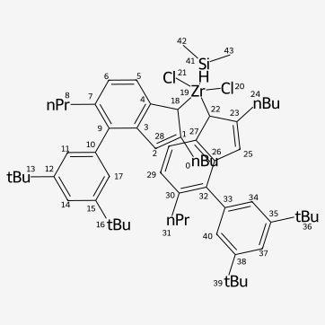 CCCCC1=Cc2c(ccc(CCC)c2-c2cc(C(C)(C)C)cc(C(C)(C)C)c2)[CH]1[Zr]([Cl])([Cl])([CH]1C(CCCC)=Cc2c1ccc(CCC)c2-c1cc(C(C)(C)C)cc(C(C)(C)C)c1)[SiH](C)C